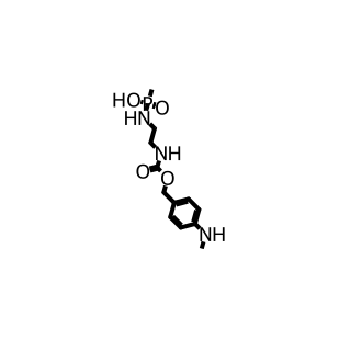 CNc1ccc(COC(=O)NCCNP(C)(=O)O)cc1